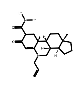 C=CCN1C[C@@H]2[C@@H](CC[C@]3(C)CCC[C@@H]23)[C@@]2(C)CC(C(=O)N(CC)CC)C(=O)C=C12